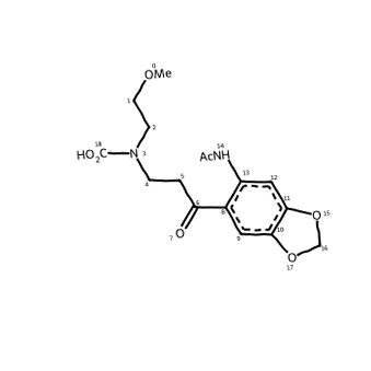 COCCN(CCC(=O)c1cc2c(cc1NC(C)=O)OCO2)C(=O)O